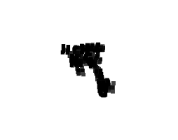 CNCc1ccc(-c2ncnc3[nH]c4cc(N5CCN(CC6CCN(c7ccc(N8CCC(=O)NC8=O)cc7)CC6)CC5)c(C)cc4c23)cc1C